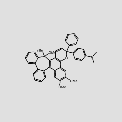 CCCCC1(OC)c2ccccc2-c2ccccc2-c2c1c1c(c3cc(OC)c(OC)cc23)OC(c2ccccc2)(c2ccc(N(C)C)cc2)C=C1